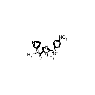 CN(C(=O)c1cnc([S+]([O-])c2ccc([N+](=O)[O-])cc2)n1C)c1cccnc1